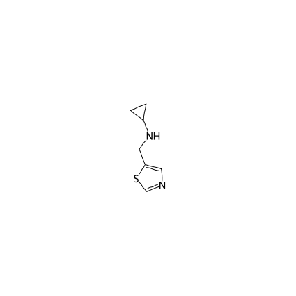 c1ncc(CNC2CC2)s1